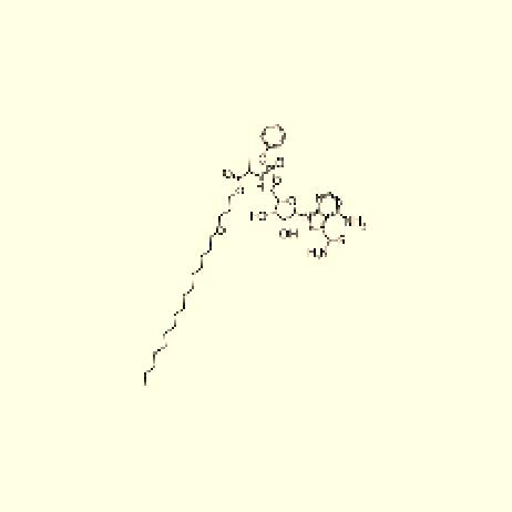 CCCCCCCCCCCCCCCCOCCCOC(=O)C(C)NP(=O)(OCC1O[C@@H](n2cc(C(N)=S)c3c(N)ncnc32)[C@H](O)[C@@H]1O)Oc1ccccc1